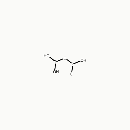 OP(O)OP(O)Cl